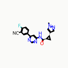 Cn1cc([C@@H]2C[C@H]2C(=O)Nc2cc(-c3ccc(F)c(C#N)c3)ncn2)cn1